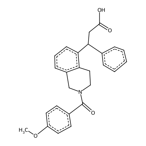 COc1ccc(C(=O)N2CCc3c(cccc3C(CC(=O)O)c3ccccc3)C2)cc1